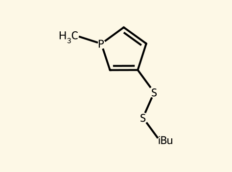 CCC(C)SSc1ccp(C)c1